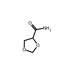 NC(=O)C1COCO1